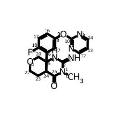 CN1C(=N)NC2(c3cc(Oc4ncccn4)ccc3F)COCCC2C1=O